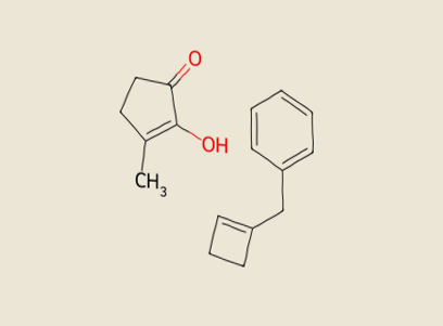 C1=C(Cc2ccccc2)CC1.CC1=C(O)C(=O)CC1